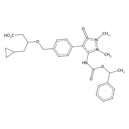 CC(OC(=O)Nc1c(-c2ccc(COC(CC(=O)O)CC3CC3)cc2)c(=O)n(C)n1C)c1ccccc1